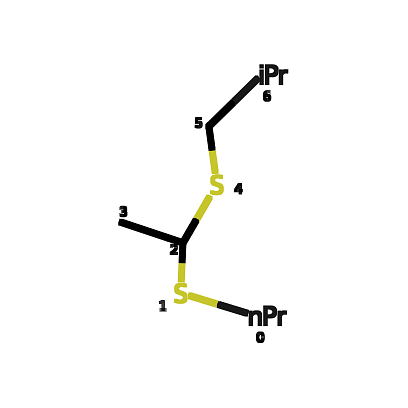 CCCSC(C)SCC(C)C